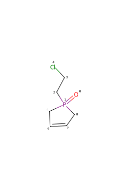 O=P1(CCCl)CC=CC1